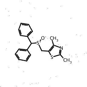 Cc1nc(C)c(C[S+]([O-])C(c2ccccc2)c2ccccc2)s1